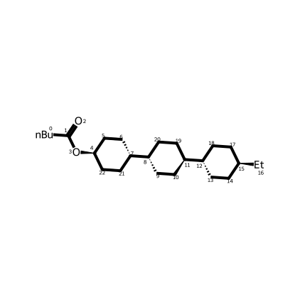 CCCCC(=O)O[C@H]1CC[C@H]([C@H]2CC[C@H]([C@H]3CC[C@H](CC)CC3)CC2)CC1